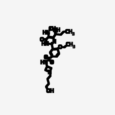 CCCC(=N)c1nc(-c2cc(S(=O)(=O)NC3CN(CCCCO)C3)ccc2OCC)[nH]c(=O)c1NC